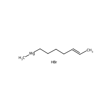 Br.CC=CCCC[CH2][Mg][CH3]